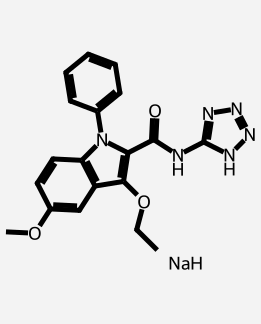 CCOc1c(C(=O)Nc2nnn[nH]2)n(-c2ccccc2)c2ccc(OC)cc12.[NaH]